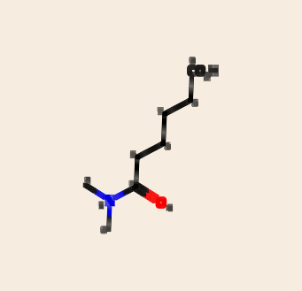 CN(C)C(=O)CCCCC(=O)O